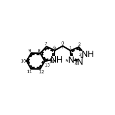 [CH](c1c[nH]nn1)c1cc2ccccc2[nH]1